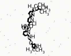 CC(C)C(COc1ccn(-c2ccc(C(=O)NS(=O)(=O)c3cccc(NCCOC4CNC(C)(C)C4)n3)c(Cl)n2)n1)C(C)C